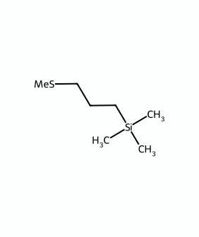 CSCCC[Si](C)(C)C